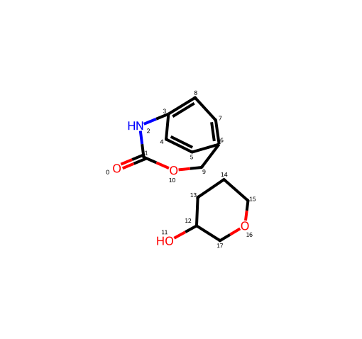 O=C1Nc2ccc(cc2)CO1.OC1CCCOC1